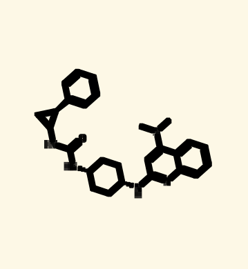 CN(C)c1cc(N[C@H]2CC[C@@H](NC(=O)NC3C[C@H]3c3ccccc3)CC2)nc2ccccc12